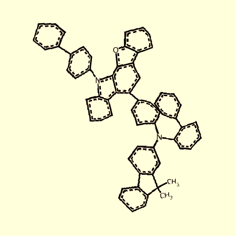 CC1(C)c2ccccc2-c2ccc(N(c3ccc(-c4cc5c6ccccc6oc5c5c4c4ccccc4n5-c4ccc(-c5ccccc5)cc4)cc3)c3ccccc3-c3ccccc3)cc21